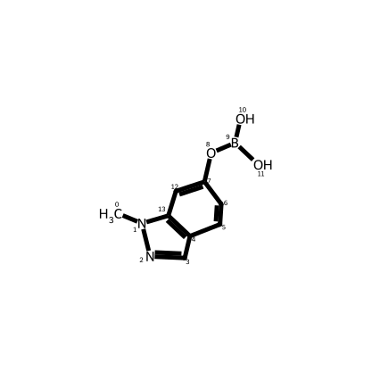 Cn1ncc2ccc(OB(O)O)cc21